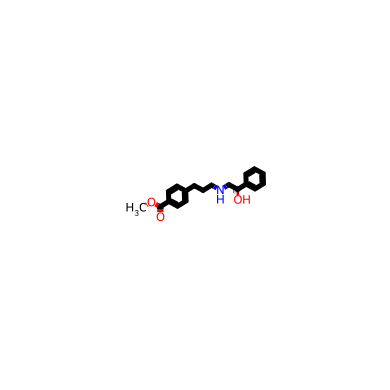 COC(=O)c1ccc(CCCNC[C@H](O)c2ccccc2)cc1